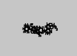 C/C=C\c1c(C)ncnc1N1CC[C@H](C(=O)NC(C)[C@@H](O)c2ccccc2)C2(CC2)C1